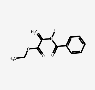 C=C(C(=O)OCC)N(F)C(=O)c1ccccc1